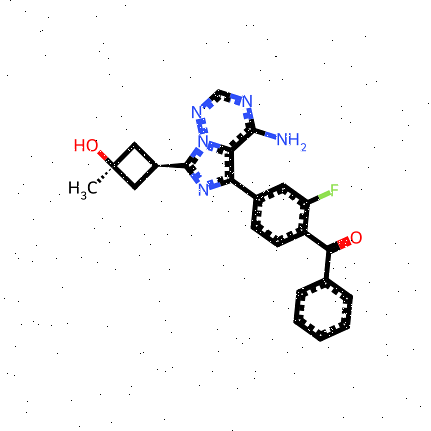 C[C@]1(O)C[C@@H](c2nc(-c3ccc(C(=O)c4ccccc4)c(F)c3)c3c(N)ncnn32)C1